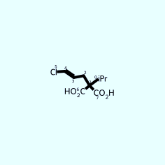 CC(C)C(C/C=C/Cl)(C(=O)O)C(=O)O